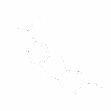 Nc1ccc(Oc2ccc(C(C(F)(F)F)C(F)(F)F)cc2)c(Cl)c1